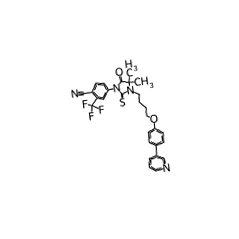 CC1(C)C(=O)N(c2ccc(C#N)c(C(F)(F)F)c2)C(=S)N1CCCCOc1ccc(-c2cccnc2)cc1